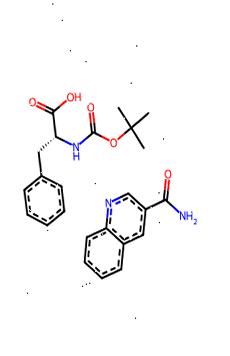 CC(C)(C)OC(=O)N[C@H](Cc1ccccc1)C(=O)O.NC(=O)c1cnc2ccccc2c1